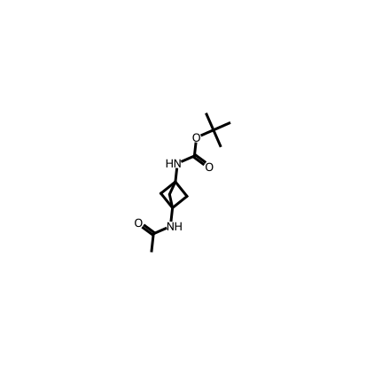 CC(=O)NC12CC(NC(=O)OC(C)(C)C)(C1)C2